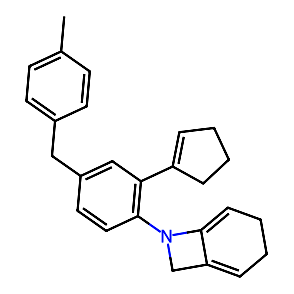 Cc1ccc(Cc2ccc(N3CC4=CCCC=C43)c(C3=CCCC3)c2)cc1